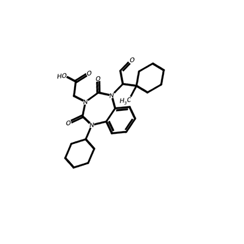 CC1(C(C=O)N2C(=O)N(CC(=O)O)C(=O)N(C3CCCCC3)c3ccccc32)CCCCC1